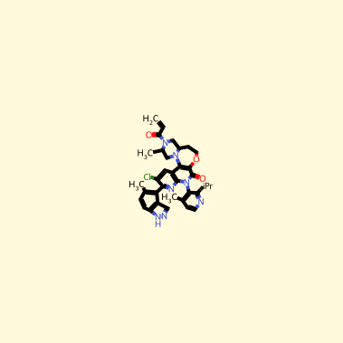 C=CC(=O)N1CC2CCOc3c(c4cc(Cl)c(-c5c(C)ccc6[nH]ncc56)nc4n(-c4c(C)ccnc4C(C)C)c3=O)N2CC1C